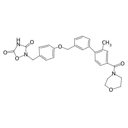 Cc1cc(C(=O)N2CCOCC2)ccc1-c1cccc(COc2ccc(Cn3oc(=O)[nH]c3=O)cc2)c1